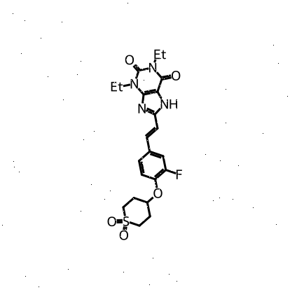 CCn1c(=O)c2[nH]c(C=Cc3ccc(OC4CCS(=O)(=O)CC4)c(F)c3)nc2n(CC)c1=O